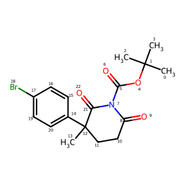 CC(C)(C)OC(=O)N1C(=O)CCC(C)(c2ccc(Br)cc2)C1=O